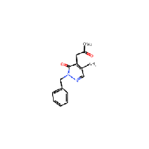 COC(=O)Cc1c(C)cnn(Cc2ccccc2)c1=O